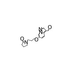 O=Cc1cnn2cc(OCCCN3CCCC3=O)ccc12